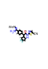 CN/N=C(\N)c1ccc(C(C(=O)Nc2ncc(C#N)s2)C2CCC(F)(F)C2)cc1